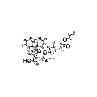 C=CCOC(=O)C[C@H](C)C[C@H](C)C[C@H]1CCC[C@@H](C[C@H](CC(=O)O)O[Si](c2ccccc2)(c2ccccc2)C(C)(C)C)O1